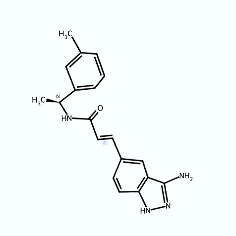 Cc1cccc([C@H](C)NC(=O)/C=C/c2ccc3[nH]nc(N)c3c2)c1